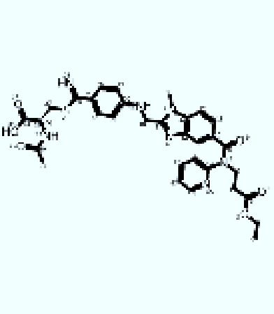 CCOC(=O)CCN(C(=O)c1ccc2c(c1)nc(CNc1ccc(C(=N)SC[C@@H](NC(C)=O)C(=O)O)cc1)n2C)c1ccccn1